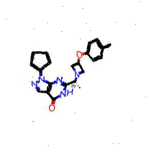 Cc1ccc(OC2CN([C@H](C)c3nc4c(cnn4C4CCCC4)c(=O)[nH]3)C2)cc1